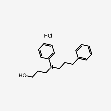 Cl.OCCCN(CCCc1ccccc1)c1ccccc1